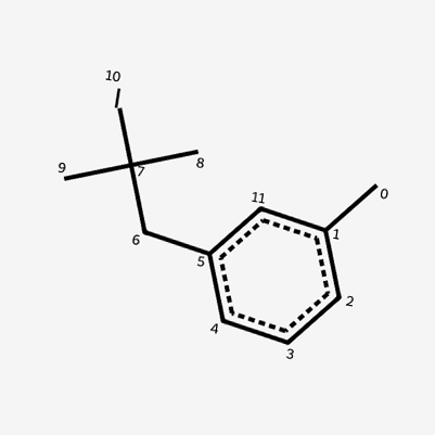 Cc1cccc(CC(C)(C)I)c1